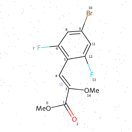 COC(=O)/C(=C/c1c(F)cc(Br)cc1F)OC